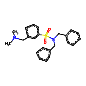 CN(C)Cc1cccc(S(=O)(=O)N(Cc2ccccc2)Cc2ccccc2)c1